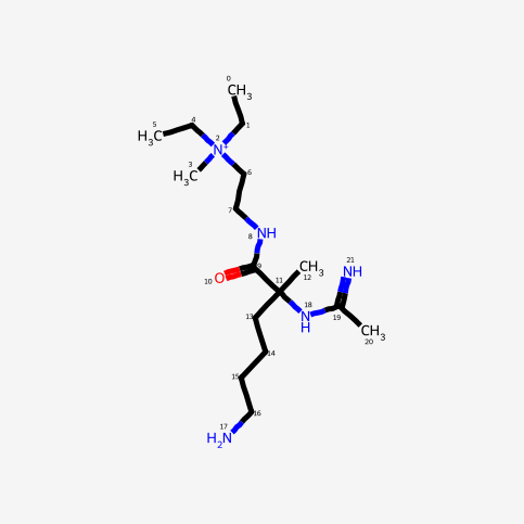 CC[N+](C)(CC)CCNC(=O)C(C)(CCCCN)NC(C)=N